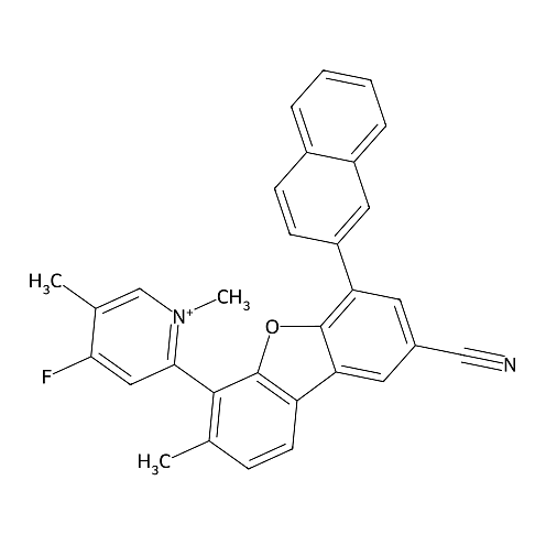 Cc1c[n+](C)c(-c2c(C)ccc3c2oc2c(-c4ccc5ccccc5c4)cc(C#N)cc23)cc1F